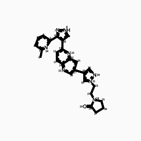 Cc1cccc(-c2n[nH]cc2-c2ccc3ncc(-c4cnn(CCN5CCCC5=O)c4)cc3n2)n1